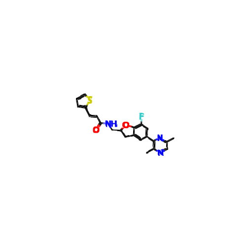 Cc1cnc(C)c(-c2cc(F)c3c(c2)CC(CNC(=O)/C=C/c2cccs2)O3)n1